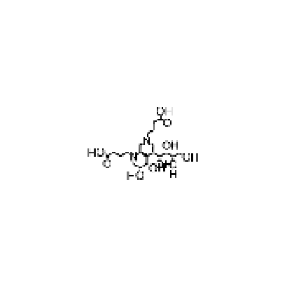 O=C(O)CCCN1C=C([C@@H](O)[C@H](O)[C@H](O)CO)C2=C(C1)N(CCCC(=O)O)C[C@@H](O)[C@H]2O